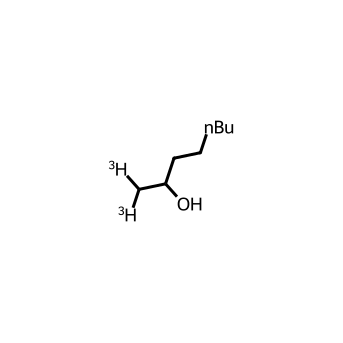 [3H]C([3H])C(O)CCCCCC